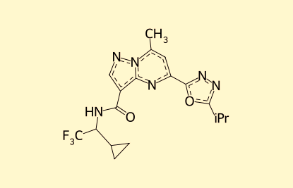 Cc1cc(-c2nnc(C(C)C)o2)nc2c(C(=O)NC(C3CC3)C(F)(F)F)cnn12